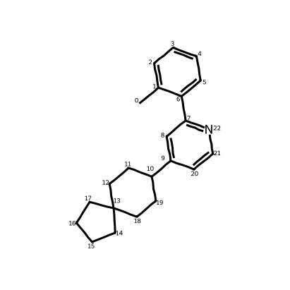 Cc1ccccc1-c1cc(C2CCC3(CCCC3)CC2)ccn1